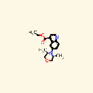 CCOC(=O)c1ccnc2ccc(N3[C@H](C)COC[C@@H]3C)cc12